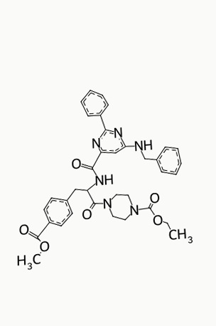 CCOC(=O)N1CCN(C(=O)C(Cc2ccc(C(=O)OC)cc2)NC(=O)c2cc(NCc3ccccc3)nc(-c3ccccc3)n2)CC1